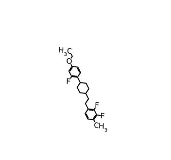 CCOc1ccc(C2CCC(CCc3ccc(C)c(F)c3F)CC2)c(F)c1